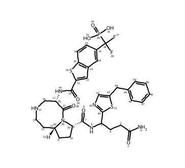 NC(=O)CCC(NC(=O)[C@@H]1CC[C@@H]2CCNC[C@H](NC(=O)c3cc4cc(C(F)(F)P(=O)(O)O)ccc4s3)C(=O)N21)c1ncc(Cc2ccccc2)s1